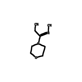 N#CC/C(=N\C#N)N1CCOCC1